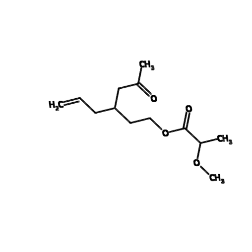 C=CCC(CCOC(=O)C(C)OC)CC(C)=O